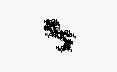 CCN(C(=O)c1cc(F)ccc1Oc1nncnc1N1CCC2(C1)CN([C@H](C[C@H](CN(C)CCOC)OC(=O)/C=C/C(=O)O[C@H](C[C@H](C(C)C)N1CC3(CCN(c4ncnnc4Oc4ccc(F)cc4C(=O)N(CC)C(C)C)C3)C1)CN(C)CCOC)C(C)C)C2)C(C)C